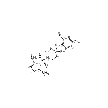 Cc1n[nH]c(C)c1S(=O)(=O)N1CCC(F)(Cc2ccc(Cl)cc2F)CC1